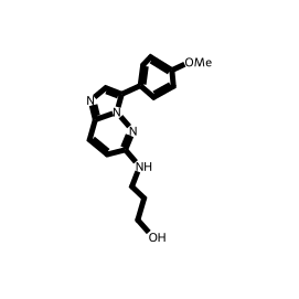 COc1ccc(-c2cnc3ccc(NCCCO)nn23)cc1